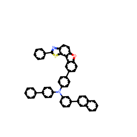 c1ccc(-c2ccc(N(c3ccc(-c4ccc5oc6ccc7nc(-c8ccccc8)sc7c6c5c4)cc3)c3cccc(-c4ccc5ccccc5c4)c3)cc2)cc1